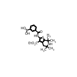 CCOC(=O)c1c(NC(=O)c2cccc(B(O)O)c2)sc2c1CC(C)(C)NC2(C)C